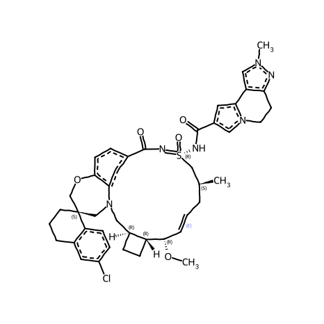 CO[C@H]1/C=C/C[C@H](C)C[S@@](=O)(NC(=O)c2cc3n(c2)CCc2nn(C)cc2-3)=NC(=O)c2ccc3c(c2)N(C[C@@H]2CC[C@H]21)C[C@@]1(CCCc2cc(Cl)ccc21)CO3